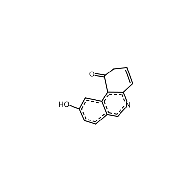 O=C1CC=Cc2ncc3ccc(O)cc3c21